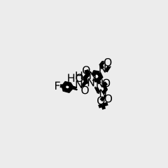 CC(C)(C)OC(=O)N1CCN(c2cc(N3CCOCC3)cn3c(=O)c(O)c(C(=O)NCc4ccc(F)cc4)nc23)C(=O)C1